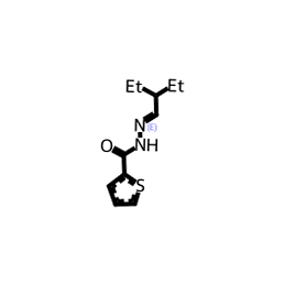 CCC(/C=N/NC(=O)c1cccs1)CC